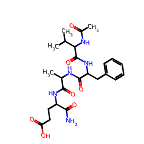 CC(=O)NC(C(=O)NC(Cc1ccccc1)C(=O)NC(C)C(=O)NC(CCC(=O)O)C(N)=O)C(C)C